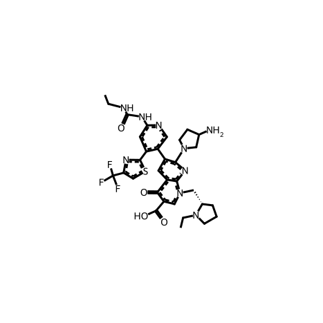 CCNC(=O)Nc1cc(-c2nc(C(F)(F)F)cs2)c(-c2cc3c(=O)c(C(=O)O)cn(C[C@@H]4CCCN4CC)c3nc2N2CCC(N)C2)cn1